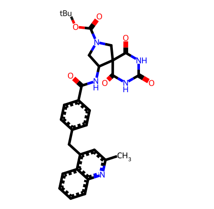 Cc1cc(Cc2ccc(C(=O)NC3CN(C(=O)OC(C)(C)C)CC34C(=O)NC(=O)NC4=O)cc2)c2ccccc2n1